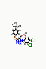 COc1cc(Cl)c(Cl)cc1-n1nnc(Sc2ccc(C(C)(C)C)cc2)c1C